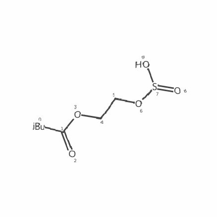 CCC(C)C(=O)OCCOS(=O)O